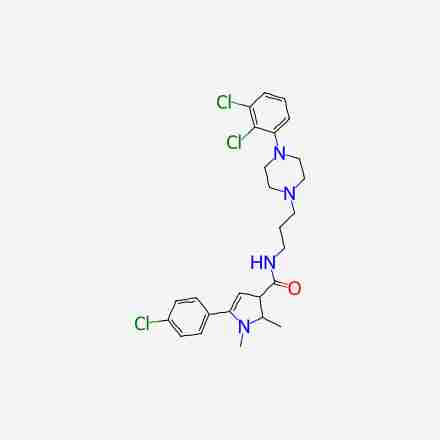 CC1C(C(=O)NCCCN2CCN(c3cccc(Cl)c3Cl)CC2)C=C(c2ccc(Cl)cc2)N1C